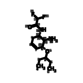 CCC(CC)O[C@@H]1C=CC[C@H](NC(=O)C(F)F)[C@H]1N